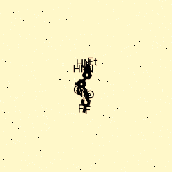 CCNc1nc2ccc(-c3cc(C)c4c(c3)CN(C(=O)N3CCC(C(C)(F)F)CC3)CCO4)cc2[nH]1